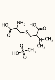 CN(C)C(CSCC(N)C(=O)O)C(=O)O.CS(=O)(=O)O